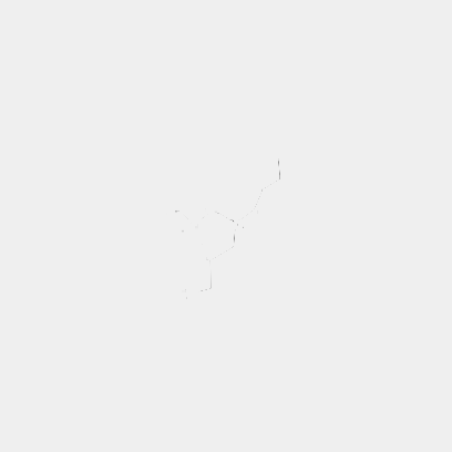 CCCCN(CCCC)[SiH2][SiH2][SiH3]